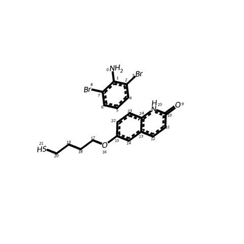 Nc1c(Br)cccc1Br.O=c1ccc2cc(OCCCCS)ccc2[nH]1